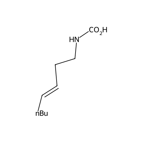 CCCCC=CCCNC(=O)O